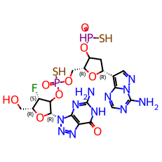 Nc1nc2c(nnn2[C@@H]2O[C@H](CO)[C@H](F)C2OP(=O)(S)OC[C@H]2O[C@@H](c3cnn4c(N)ncnc34)CC2O[PH](=O)S)c(=O)[nH]1